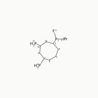 CC(C)P(F)C1CCCC(P)CC(P)C1